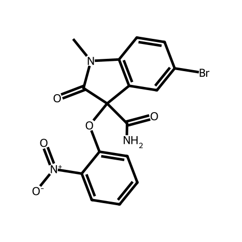 CN1C(=O)C(Oc2ccccc2[N+](=O)[O-])(C(N)=O)c2cc(Br)ccc21